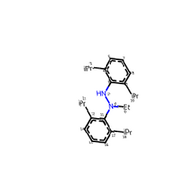 CCN(Nc1c(C(C)C)cccc1C(C)C)c1c(C(C)C)cccc1C(C)C